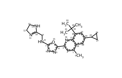 Cc1cc(-c2nnc(NCC3=NCCN3)o2)nc2c(C(C)(C)C)cc(C3CC3)cc12